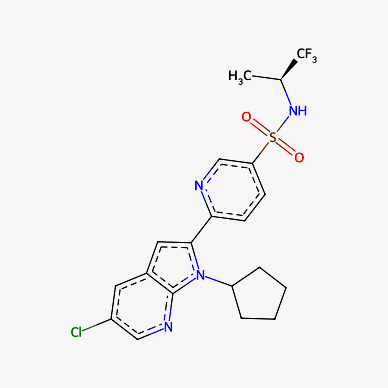 C[C@H](NS(=O)(=O)c1ccc(-c2cc3cc(Cl)cnc3n2C2CCCC2)nc1)C(F)(F)F